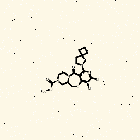 CC(C)(C)OC(=O)N1CCN2C(=O)c3c(N4CCC5(CCC5)C4)nc(Cl)c(Cl)c3OCC2C1